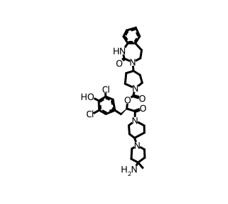 CC1(N)CCN(C2CCN(C(=O)[C@@H](Cc3cc(Cl)c(O)c(Cl)c3)OC(=O)N3CCC(N4CCc5ccccc5NC4=O)CC3)CC2)CC1